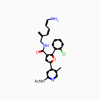 C=C(/C=C\C=C/N)CNC(=O)c1cc(-c2cc(NC(C)=O)ncc2C)oc1-c1ccccc1Cl